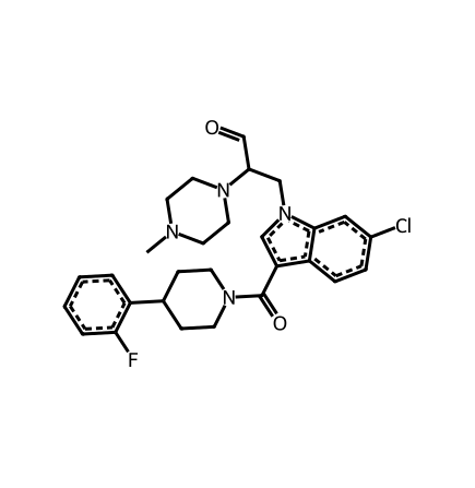 CN1CCN(C(C=O)Cn2cc(C(=O)N3CCC(c4ccccc4F)CC3)c3ccc(Cl)cc32)CC1